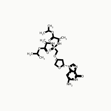 CC(C)OC(=O)[C@H](C)NP(=O)(CO[C@H]1CO[C@@H](n2cnc3c(=O)[nH]c(N)cc32)C1)N[C@@H](C)C(=O)OC(C)C